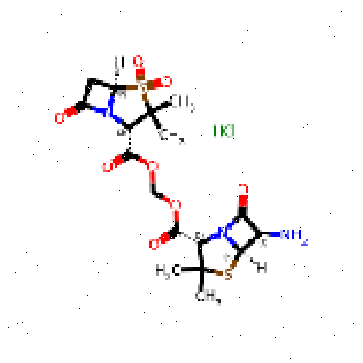 CC1(C)S[C@@H]2[C@H](N)C(=O)N2[C@H]1C(=O)OCOC(=O)[C@@H]1N2C(=O)C[C@H]2S(=O)(=O)C1(C)C.Cl